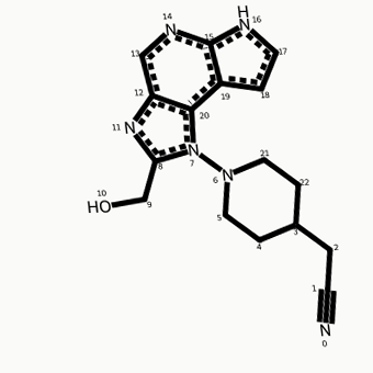 N#CCC1CCN(n2c(CO)nc3cnc4[nH]ccc4c32)CC1